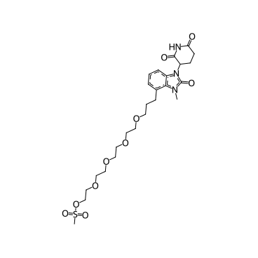 Cn1c(=O)n(C2CCC(=O)NC2=O)c2cccc(CCCOCCOCCOCCOCCOS(C)(=O)=O)c21